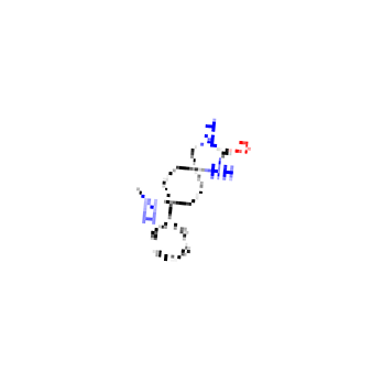 CNC1(c2ccccc2)CCC2(CC1)CNC(=O)N2